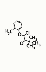 Cc1ccccc1OC(Cl)C(=O)C(C)(C)C